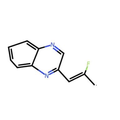 [CH2]/C(F)=C/c1cnc2ccccc2n1